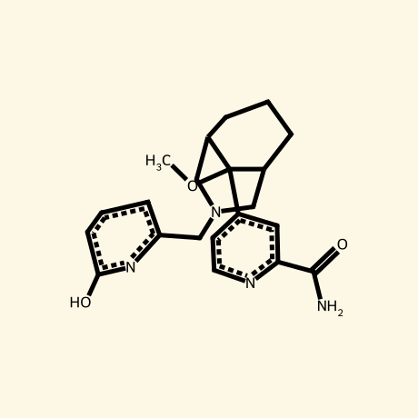 COC1(c2ccnc(C(N)=O)c2)C2CCCC1CN(Cc1cccc(O)n1)C2